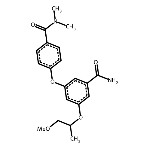 COCC(C)Oc1cc(Oc2ccc(C(=O)N(C)C)cc2)cc(C(N)=O)c1